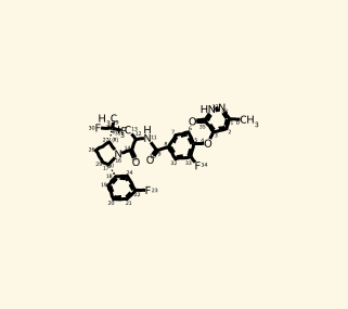 Cc1cc(Oc2ccc(C(=O)NC(C)C(=O)N3[C@H](c4cccc(F)c4)CC[C@@H]3C(C)(F)F)cc2F)c(=O)[nH]n1